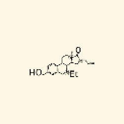 C=CC[C@@H]1CC2C3C(CC[C@]2(C)C1=O)c1ccc(CO)cc1C[C@H]3CC